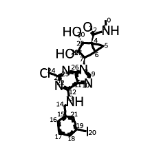 CNC(=O)[C@@]12CC1[C@@H](n1cnc3c(NCc4cccc(I)c4)nc(Cl)nc31)[C@H](O)[C@@H]2O